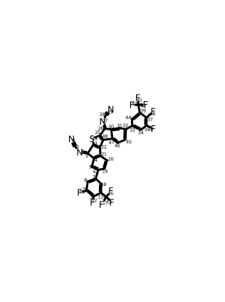 N#C/N=c1/c2cc(-c3cc(F)c(F)c(C(F)(F)F)c3)ccc2c2c1sc1/c(=N/C#N)c3cc(-c4cc(F)c(F)c(C(F)(F)F)c4)ccc3c12